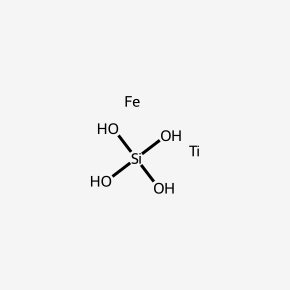 O[Si](O)(O)O.[Fe].[Ti]